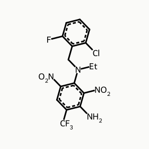 CCN(Cc1c(F)cccc1Cl)c1c([N+](=O)[O-])cc(C(F)(F)F)c(N)c1[N+](=O)[O-]